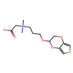 C[N+](C)(CCCOC1COc2cscc2O1)CC(=O)[O-]